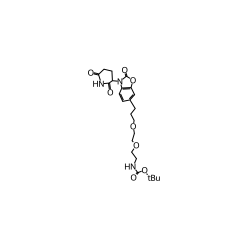 CC(C)(C)OC(=O)NCCOCCOCCCc1ccc2c(c1)oc(=O)n2C1CCC(=O)NC1=O